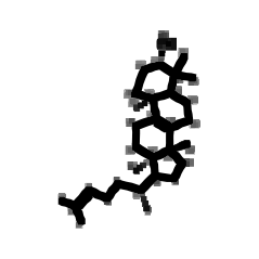 CC(C)=CCC[C@@H](C)C1CC[C@@]2(C)C3=C(CC[C@]12C)[C@@]1(C)CC[C@H](O)C(C)(C)C1CC3